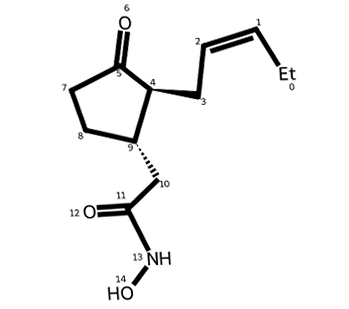 CC/C=C\C[C@@H]1C(=O)CC[C@H]1CC(=O)NO